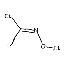 [CH2]C(CC)=NOCC